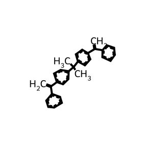 C=C(c1ccccc1)c1ccc(C(C)(C)c2ccc(C(=C)c3ccccc3)cc2)cc1